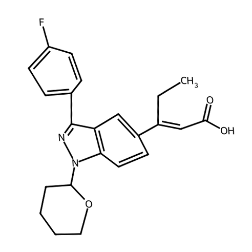 CC/C(=C\C(=O)O)c1ccc2c(c1)c(-c1ccc(F)cc1)nn2C1CCCCO1